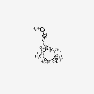 B[C@@H]1[C@@H](C)C(=O)[C@](C)(F)C(=O)O[C@H](CC)[C@@]2(C)OC(=O)N(CCCCn3cc(-c4cccc(N)c4)nn3)[C@@H]2[C@@H](C(F)(F)F)NC[C@H](C)C[C@@]1(C)OC